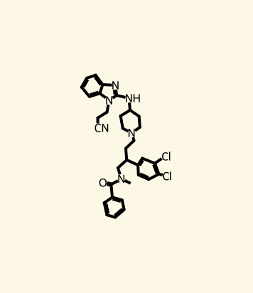 CN(CC(CCN1CCC(Nc2nc3ccccc3n2CCC#N)CC1)c1ccc(Cl)c(Cl)c1)C(=O)c1ccccc1